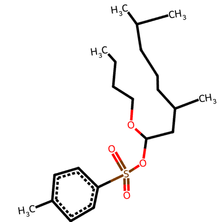 CCCCOC(CC(C)CCCC(C)C)OS(=O)(=O)c1ccc(C)cc1